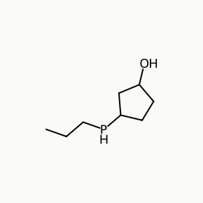 CCCPC1CCC(O)C1